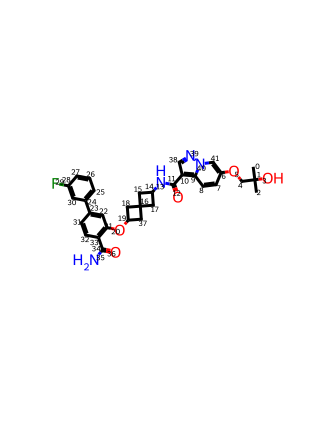 CC(C)(O)COc1ccc2c(C(=O)NC3CC4(C3)CC(Oc3cc(-c5cccc(F)c5)ccc3C(N)=O)C4)cnn2c1